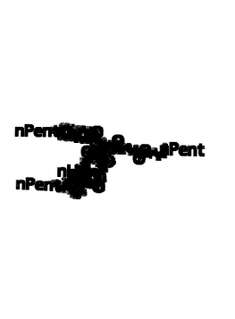 CCCCC/C=C\CCOC(=O)CCCCC(=O)OCC(COC(=O)CCCCC(=O)OCC/C=C\CCCCC)(COC(=O)CCC(CCCCCC)OC(=O)NCCN1CCCC1)COC(=O)C1CCC(C2CCC(CCCCC)CC2)CC1